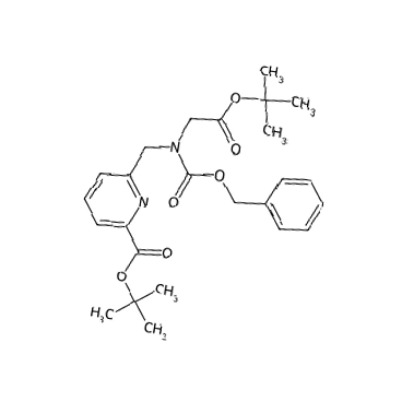 CC(C)(C)OC(=O)CN(Cc1cccc(C(=O)OC(C)(C)C)n1)C(=O)OCc1ccccc1